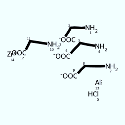 Cl.NCC(=O)[O-].NCC(=O)[O-].NCC(=O)[O-].NCC(=O)[O-].[Al].[Zr+4]